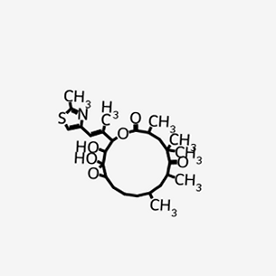 CC(=Cc1csc(C)n1)C1OC(=O)C(C)CC(C)(C)C(=O)C(C)CC(C)CCCC2OC2(O)C1O